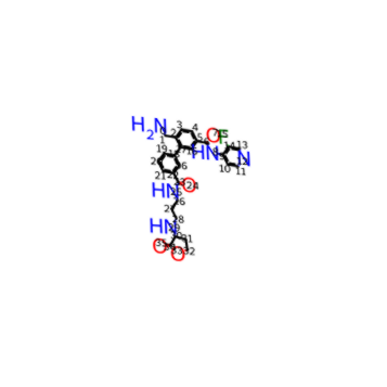 NCc1ccc(C(=O)Nc2ccncc2F)cc1-c1cccc(C(=O)NCCCNC2CCOC2=O)c1